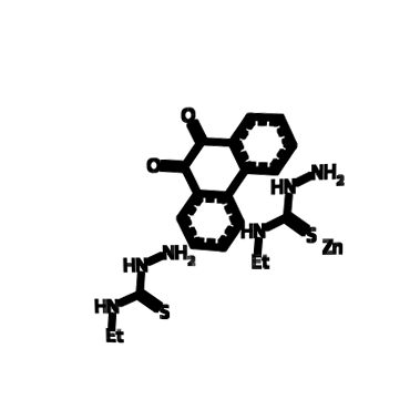 CCNC(=S)NN.CCNC(=S)NN.O=C1C(=O)c2ccccc2-c2ccccc21.[Zn]